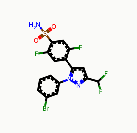 NS(=O)(=O)c1cc(F)c(-c2cc(C(F)F)nn2-c2cccc(Br)c2)cc1F